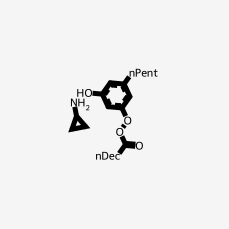 CCCCCCCCCCC(=O)OOc1cc(O)cc(CCCCC)c1.NC1CC1